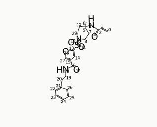 C=CC(=O)NC1(C)CCN(S(=O)(=O)c2cc(C(=O)NCCc3ccccc3)co2)CC1